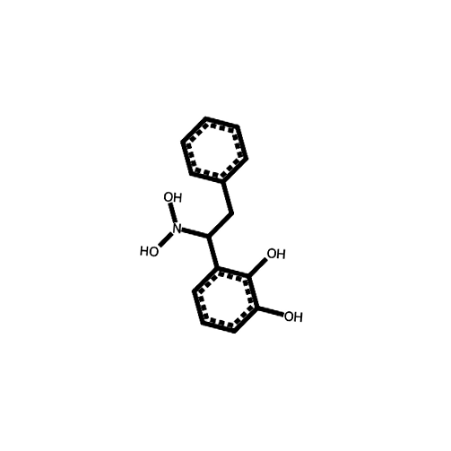 Oc1cccc(C(Cc2ccccc2)N(O)O)c1O